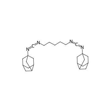 C(=NCCCCCN=C=NC12CC3CC(C1)C(C3)C2)=NC12CC3CC(C1)C(C3)C2